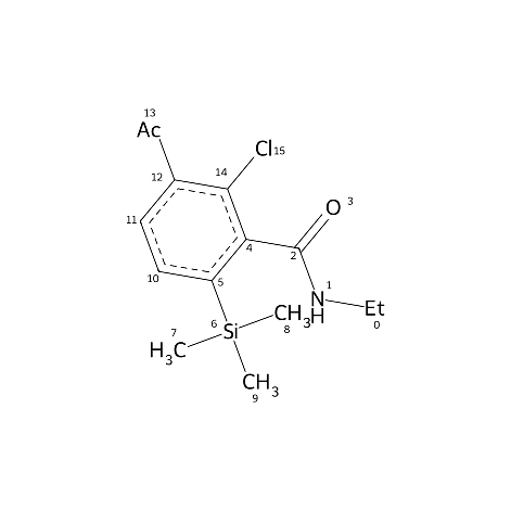 CCNC(=O)c1c([Si](C)(C)C)ccc(C(C)=O)c1Cl